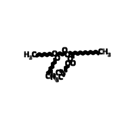 C[CH]CCCCCCCCCC(COC(=O)CCC(OCCCCCCCC)OCCCCCCCC)COC(=O)OCCCN(CC)CC